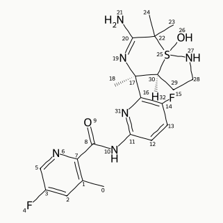 Cc1cc(F)cnc1C(=O)Nc1ccc(F)c([C@@]2(C)N=C(N)C(C)(C)S3(O)NCC[C@@H]23)n1